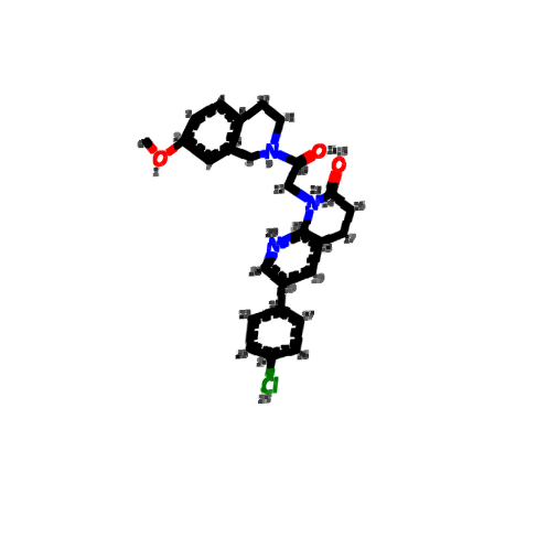 COc1ccc2c(c1)CN(C(=O)CN1C(=O)CCc3cc(-c4ccc(Cl)cc4)cnc31)CC2